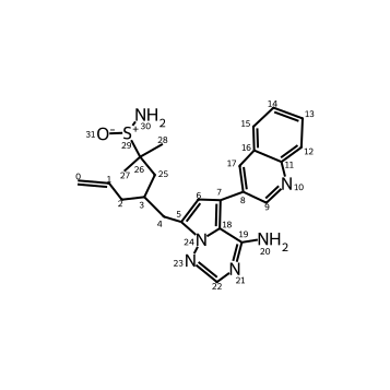 C=CCC(Cc1cc(-c2cnc3ccccc3c2)c2c(N)ncnn12)CC(C)(C)[S+](N)[O-]